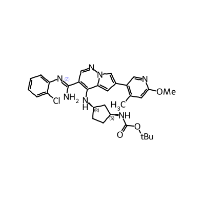 COc1cc(C)c(-c2cc3c(N[C@@H]4CC[C@H](NC(=O)OC(C)(C)C)C4)c(/C(N)=N/c4ccccc4Cl)cnn3c2)cn1